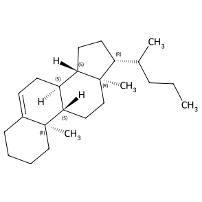 CCCC(C)[C@H]1CC[C@H]2[C@@H]3CC=C4CCCC[C@]4(C)[C@H]3CC[C@]12C